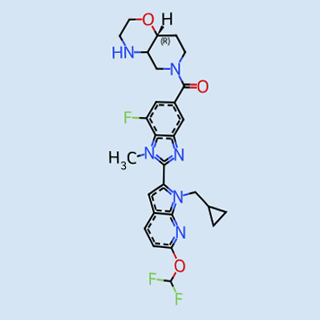 Cn1c(-c2cc3ccc(OC(F)F)nc3n2CC2CC2)nc2cc(C(=O)N3CC[C@H]4OCCNC4C3)cc(F)c21